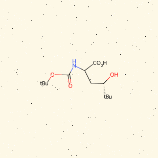 CC(C)(C)OC(=O)NC(C[C@H](O)C(C)(C)C)C(=O)O